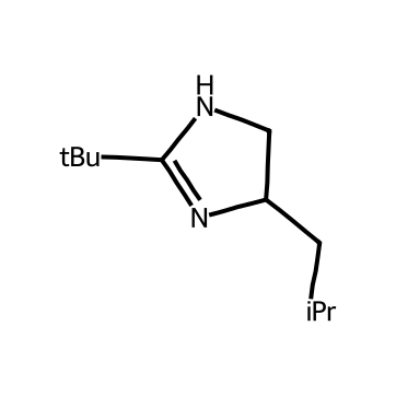 CC(C)CC1CNC(C(C)(C)C)=N1